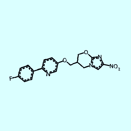 O=[N+]([O-])c1cn2c(n1)OCC(COc1ccc(-c3ccc(F)cc3)nc1)C2